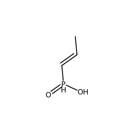 C/C=C/[PH](=O)O